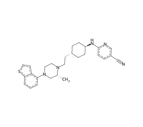 C[C@@H]1CN(c2cccc3sccc23)CCN1CC[C@H]1CC[C@H](Nc2ccc(C#N)cn2)CC1